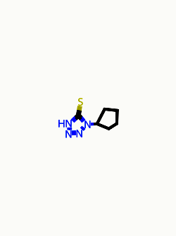 S=c1[nH]nnn1C1CCCC1